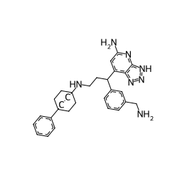 NCc1cccc(C(CCNC23CCC(c4ccccc4)(CC2)CC3)c2cc(N)nc3[nH]nnc23)c1